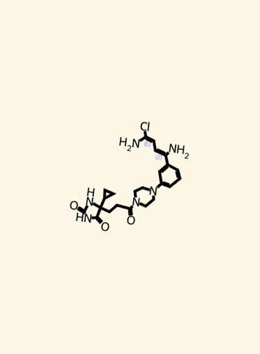 N/C(=C\C=C(/N)Cl)c1cccc(N2CCN(C(=O)CCC3(C4CC4)NC(=O)NC3=O)CC2)c1